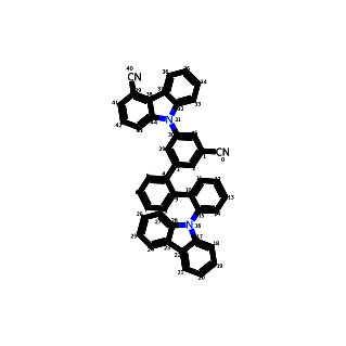 N#Cc1cc(-c2ccccc2-c2ccccc2-n2c3ccccc3c3ccccc32)cc(-n2c3ccccc3c3c(C#N)cccc32)c1